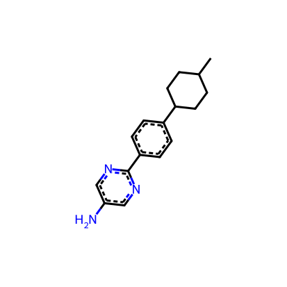 CC1CCC(c2ccc(-c3ncc(N)cn3)cc2)CC1